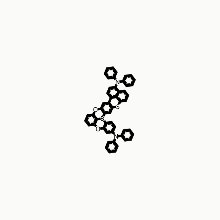 c1ccc(N(c2ccccc2)c2ccc3c(c2)Oc2cccc4c2B3c2cc3c(cc2O4)-c2ccc(N(c4ccccc4)c4ccccc4)c4cccc(c24)S3)cc1